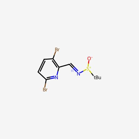 CC(C)(C)[S+]([O-])/N=C/c1nc(Br)ccc1Br